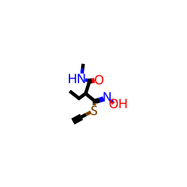 C#CS/C(=N\O)C(CC)C(=O)NC